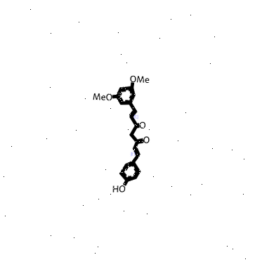 COc1cc(/C=C/C(=O)CC(=O)/C=C/c2ccc(O)cc2)cc(OC)c1